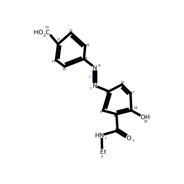 CCNC(=O)c1cc(/N=N/c2ccc(C(=O)O)cc2)ccc1O